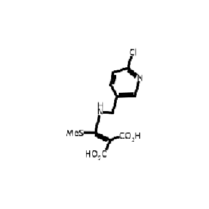 CSC(NCc1ccc(Cl)nc1)=C(C(=O)O)C(=O)O